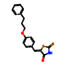 O=C1NC(=S)S/C1=C\c1ccc(OCCCc2ccccc2)cc1